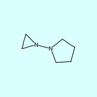 C1CCN(N2CC2)C1